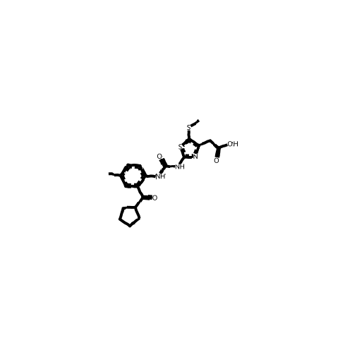 CSc1sc(NC(=O)Nc2ccc(C)cc2C(=O)C2CCCC2)nc1CC(=O)O